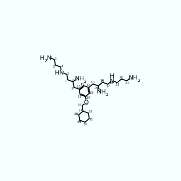 NCCCNCCC(N)Cc1cc(CC(N)CCNCCCN)cc(OCC2CCCCC2)c1